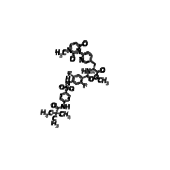 COC(=O)[C@H](Cc1ccc(-n2c(=O)ccn(C)c2=O)nc1)NC(=O)c1cc(F)c(NS(=O)(=O)c2ccc(NC(=O)C(C)(C)C)cc2)cc1F